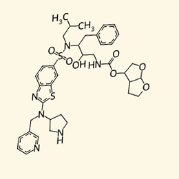 CC(C)CN(C(Cc1ccccc1)C(O)CNC(=O)OC1COC2OCCC12)S(=O)(=O)c1ccc2nc(N(Cc3cccnc3)C3CCNC3)sc2c1